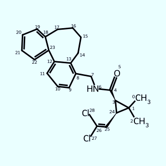 CC1(C)[C@H](C(=O)NCc2cccc3c2CCCCc2ccccc2-3)[C@@H]1C=C(Cl)Cl